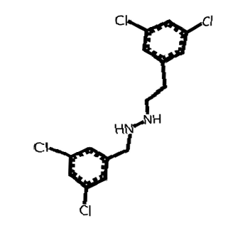 Clc1cc(Cl)cc(CCNNCc2cc(Cl)cc(Cl)c2)c1